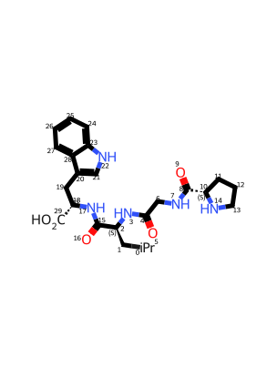 CC(C)C[C@H](NC(=O)CNC(=O)[C@@H]1CCCN1)C(=O)N[C@@H](Cc1c[nH]c2ccccc12)C(=O)O